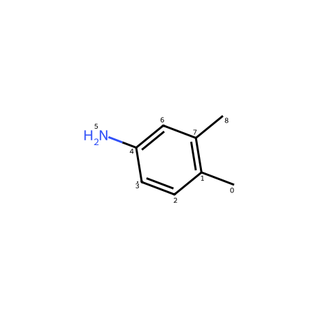 Cc1c[c]c(N)cc1C